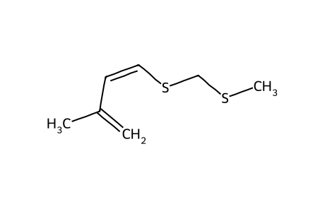 C=C(C)/C=C\SCSC